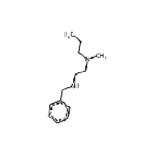 CCCN(C)CCNCc1ccccc1